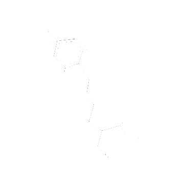 NCC(CCSCc1ccc(Br)cc1)CC(=O)O